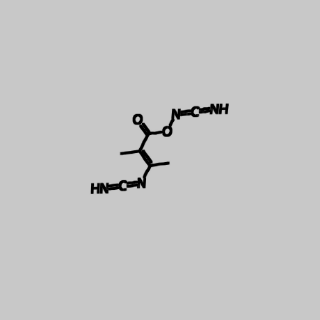 CC(N=C=N)=C(C)C(=O)ON=C=N